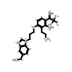 CCCc1c(OCCCn2cnc3cc(CO)ccc32)ccc(C(=N)C(F)(F)F)c1O